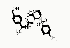 Cc1ccc(S(=O)(=O)N2C=CNC(=O)[C@H]2CC(=O)N[C@H](C)c2ccc(CO)cc2)cc1